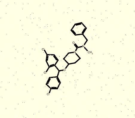 CN(Cc1ccccc1)C(=O)N1CCC(OC(c2ccc(Cl)cc2)c2ccc(Cl)cc2Cl)CC1